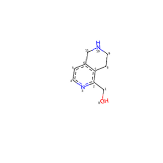 OCc1nccc2c1CCNC2